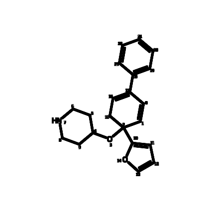 C1=CC(OC2CCNCC2)(c2ccco2)CC=C1c1ccccc1